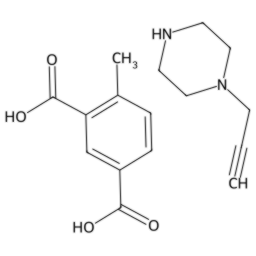 C#CCN1CCNCC1.Cc1ccc(C(=O)O)cc1C(=O)O